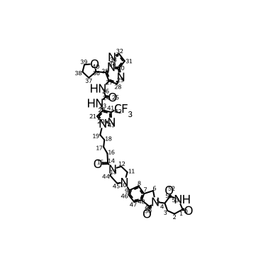 O=C1CCC(N2Cc3cc(N4CCN(C(=O)CCCCn5cc(NC(=O)Nc6cnc7ccnn7c6C6CCCO6)c(C(F)(F)F)n5)CC4)ccc3C2=O)C(=O)N1